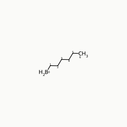 BCCCCCC